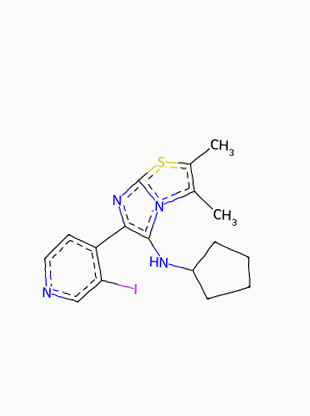 Cc1sc2nc(-c3ccncc3I)c(NC3CCCC3)n2c1C